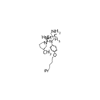 CC(C)CCCCOc1ccc(N(CC(C)(C)CN)C(=N)N2CCCC(C)C2)cc1